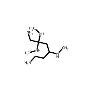 CNC(CCN)CC(CN)(NC)NC